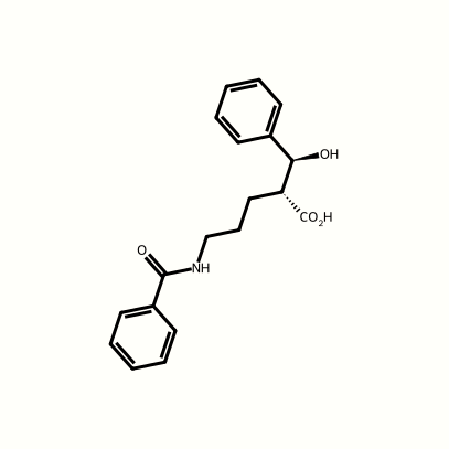 O=C(NCCC[C@@H](C(=O)O)[C@H](O)c1ccccc1)c1ccccc1